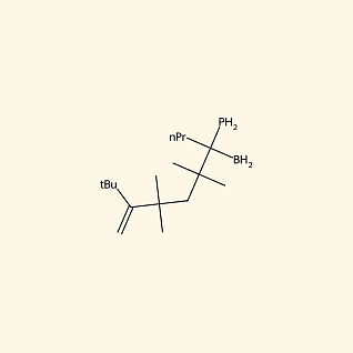 BC(P)(CCC)C(C)(C)CC(C)(C)C(=C)C(C)(C)C